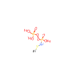 CC(C)SNP(=O)(O)OOP(=O)(O)O